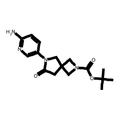 CC(C)(C)OC(=O)N1CC2(CC(=O)N(c3ccc(N)nc3)C2)C1